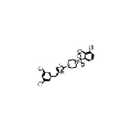 O=S(=O)(c1cccc(Cl)c1Cl)N1CCN(c2nc(Cc3cc(Cl)cc(Cl)c3)cs2)CC1